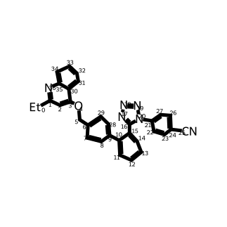 CCc1cc(OCc2ccc(-c3ccccc3-c3nnnn3-c3ccc(C#N)cc3)cc2)c2ccccc2n1